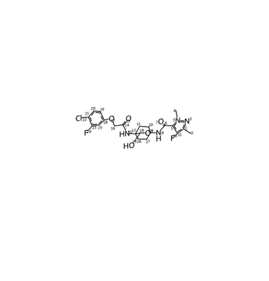 Cc1nn(C)c(C(=O)NC23CCC(NC(=O)COc4ccc(Cl)c(F)c4)(CC2)C(O)C3)c1F